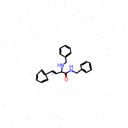 O=C(NCc1ccccc1)C(/C=C/c1ccccc1)NCc1ccccc1